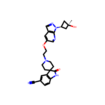 C[C@]1(O)C[C@@H](n2ncc3cc(OCCN4CCC5(CC4)C(=O)Nc4ccc(C#N)cc45)cnc32)C1